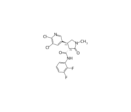 CN1C[C@H](c2cnc(Cl)c(Cl)c2)[C@@H](C(=O)Nc2cccc(F)c2F)C1=O